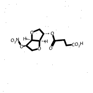 O=C(O)CCC(=O)O[C@H]1CO[C@H]2[C@@H]1OC[C@H]2O[N+](=O)[O-]